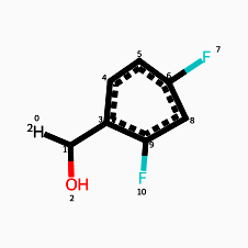 [2H]C(O)c1ccc(F)cc1F